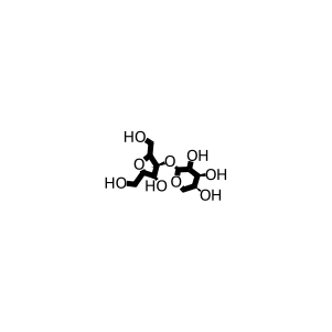 OCC1OC(CO)[C@H](O)[C@@H]1O[C@@H]1OC[C@@H](O)[C@H](O)C1O